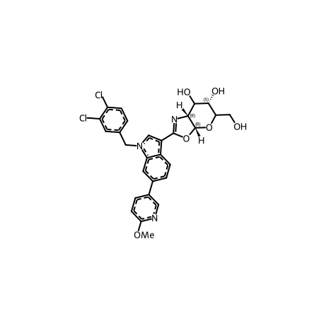 COc1ccc(-c2ccc3c(C4=N[C@@H]5C(O)[C@H](O)C(CO)O[C@@H]5O4)cn(Cc4ccc(Cl)c(Cl)c4)c3c2)cn1